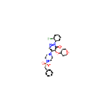 O=c1c(OC2CCOCC2)c(N2CCN(S(=O)(=O)Cc3ccccc3)CC2)cnn1-c1ccccc1Cl